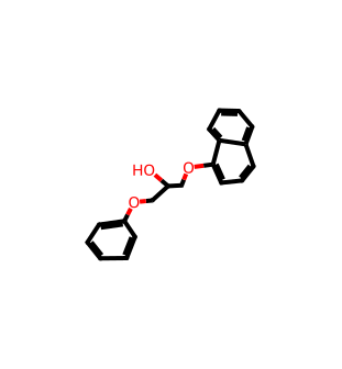 OC(COc1ccccc1)COc1cccc2ccccc12